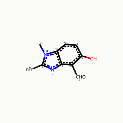 CCCc1nc2c(C=O)c(O)ccc2n1C